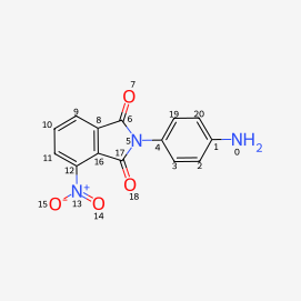 Nc1ccc(N2C(=O)c3cccc([N+](=O)[O-])c3C2=O)cc1